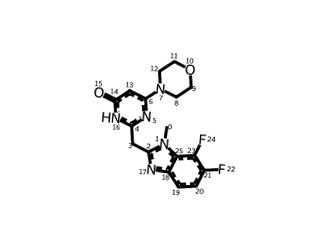 Cn1c(Cc2nc(N3CCOCC3)cc(=O)[nH]2)nc2ccc(F)c(F)c21